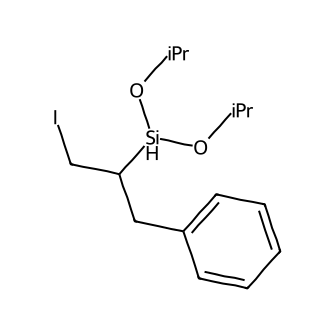 CC(C)O[SiH](OC(C)C)C(CI)Cc1ccccc1